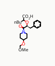 CCCCC(O[C@@H](Cc1ccccc1)C(=O)N1CCC(OCOC)CC1)C(=O)O